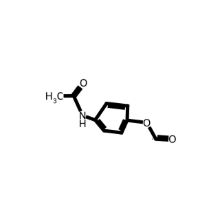 CC(=O)Nc1ccc(O[C]=O)cc1